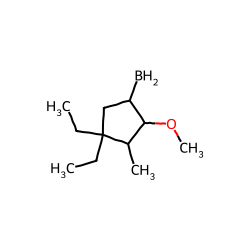 BC1CC(CC)(CC)C(C)C1OC